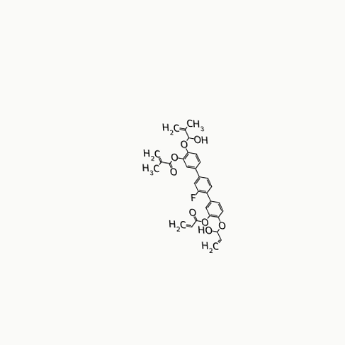 C=CC(=O)Oc1cc(-c2ccc(-c3ccc(OC(O)C(=C)C)c(OC(=O)C(=C)C)c3)cc2F)ccc1OC(O)C=C